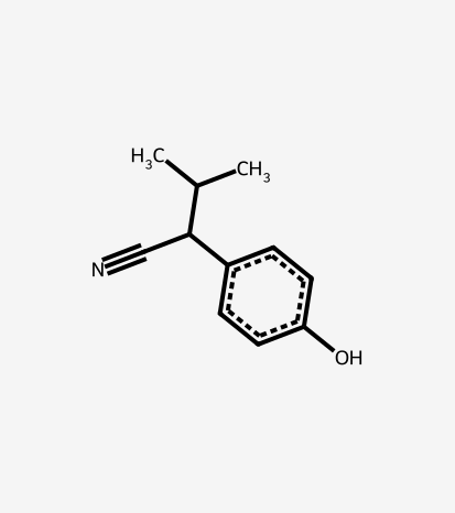 CC(C)C(C#N)c1ccc(O)cc1